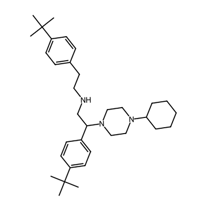 CC(C)(C)c1ccc(CCNCC(c2ccc(C(C)(C)C)cc2)N2CCN(C3CCCCC3)CC2)cc1